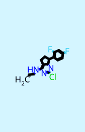 C=CCNc1nc(Cl)nc2c1CCC2c1ccc(F)cc1F